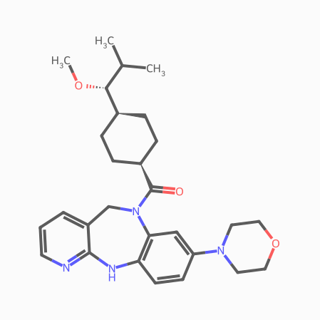 CO[C@H](C(C)C)[C@H]1CC[C@@H](C(=O)N2Cc3cccnc3Nc3ccc(N4CCOCC4)cc32)CC1